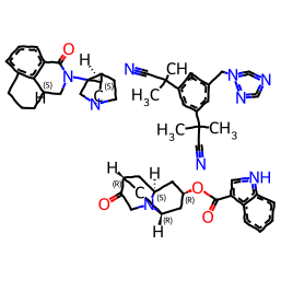 CC(C)(C#N)c1cc(Cn2cncn2)cc(C(C)(C)C#N)c1.O=C(O[C@@H]1C[C@@H]2C[C@@H]3C[C@H](C1)N2CC3=O)c1c[nH]c2ccccc12.O=C1c2cccc3c2[C@H](CCC3)CN1[C@@H]1CN2CCC1CC2